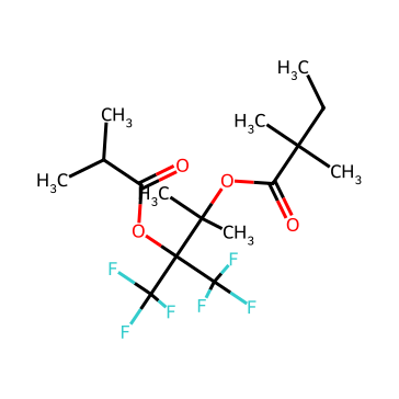 CCC(C)(C)C(=O)OC(C)(C)C(OC(=O)C(C)C)(C(F)(F)F)C(F)(F)F